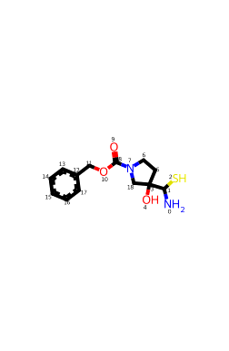 NC(S)C1(O)CCN(C(=O)OCc2ccccc2)C1